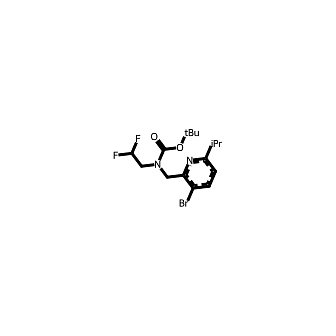 CC(C)c1ccc(Br)c(CN(CC(F)F)C(=O)OC(C)(C)C)n1